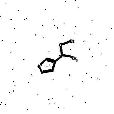 CCOC(C)C1=C[N]N=C1